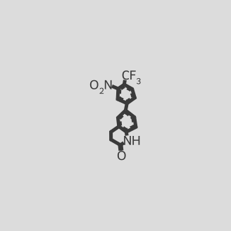 O=C1CCc2cc(-c3ccc(C(F)(F)F)c([N+](=O)[O-])c3)ccc2N1